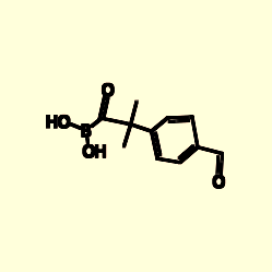 CC(C)(C(=O)B(O)O)c1ccc(C=O)cc1